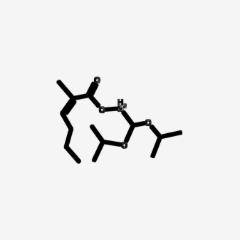 CCCC=C(C)C(=O)O[SiH2]C(OC(C)C)OC(C)C